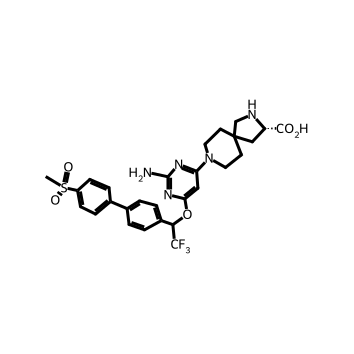 CS(=O)(=O)c1ccc(-c2ccc(C(Oc3cc(N4CCC5(CC4)CN[C@H](C(=O)O)C5)nc(N)n3)C(F)(F)F)cc2)cc1